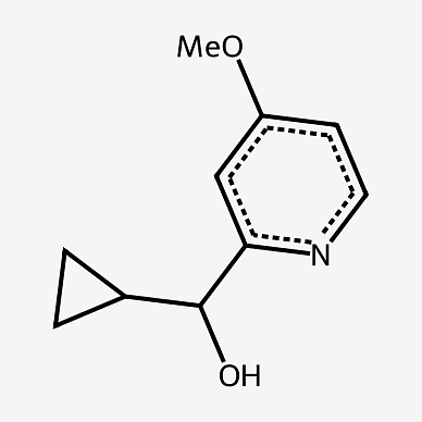 COc1ccnc(C(O)C2CC2)c1